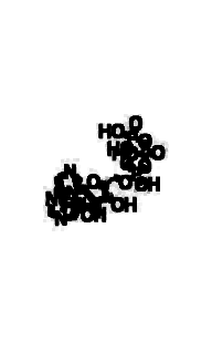 NC1=C2N=C[N+]3([C@@H]4O[C@H](COP(=O)(O)OP(=O)(O)OP(=O)(O)O)[C@@H](O)[C@H]4O)C=CN1CN=C23